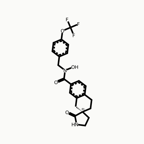 O=C(c1ccc2c(c1)C[C@@]1(CCNC1=O)CC2)N(O)Cc1ccc(OC(F)(F)F)cc1